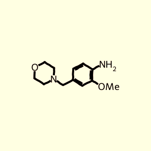 COc1cc(CN2CCOCC2)ccc1N